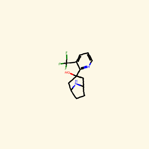 OC1(c2ncccc2C(F)(F)F)CC2CCC(C1)N2